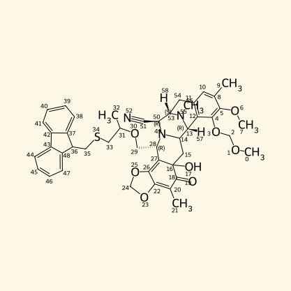 COCOc1c(OC)c(C)cc2c1[C@@H]1C3CC4(O)C(=O)C(C)=C5OCOC5=C4[C@H](COC(C)CSCC4c5ccccc5-c5ccccc54)N3[C@@H](C#N)[C@H](C2)N1C